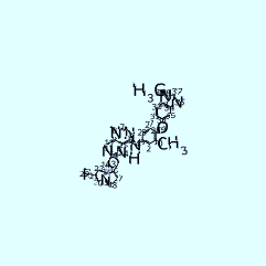 Cc1cc(Nc2ncnc3cnc(OC[C@]45CCCN4C[C@@H](F)C5)nc23)ccc1Oc1ccc2c(c1)ncn2C